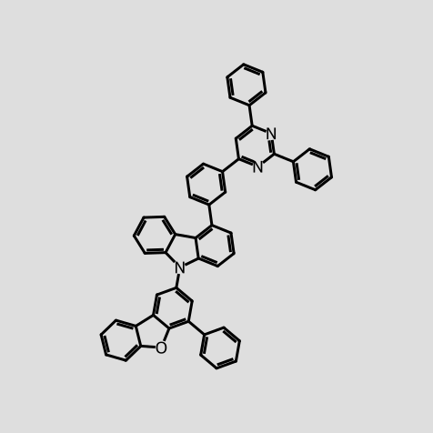 c1ccc(-c2cc(-c3cccc(-c4cccc5c4c4ccccc4n5-c4cc(-c5ccccc5)c5oc6ccccc6c5c4)c3)nc(-c3ccccc3)n2)cc1